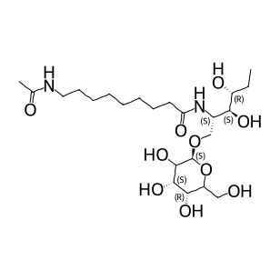 CC[C@@H](O)[C@@H](O)[C@H](CO[C@H]1OC(CO)[C@H](O)[C@H](O)C1O)NC(=O)CCCCCCCCNC(C)=O